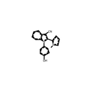 Cn1cccc1-c1c(C#N)c2ccccc2n1-c1ccc(O)cc1